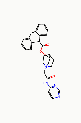 O=C(C[N+]12CCC(CC1)C(OC(=O)C1c3ccccc3Cc3ccccc31)C2)Nc1ccncn1